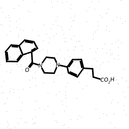 O=C(O)CCc1ccc(N2CCN(C(=O)c3cccc4ccccc34)CC2)cc1